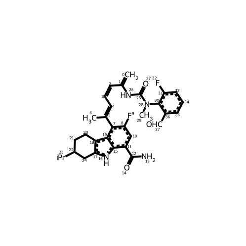 C=C(/C=C\C=C(/C)c1c(F)cc(C(N)=O)c2[nH]c3c(c12)CCC(C(C)C)C3)NC(=O)N(C)c1c(F)cccc1C=O